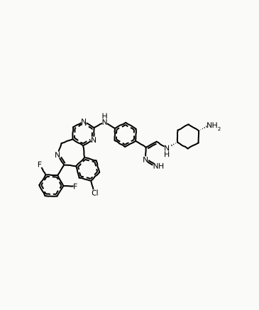 N=N/C(=C\N[C@H]1CC[C@@H](N)CC1)c1ccc(Nc2ncc3c(n2)-c2ccc(Cl)cc2C(c2c(F)cccc2F)=NC3)cc1